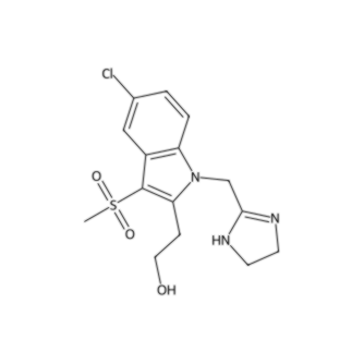 CS(=O)(=O)c1c(CCO)n(CC2=NCCN2)c2ccc(Cl)cc12